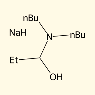 CCCCN(CCCC)C(O)CC.[NaH]